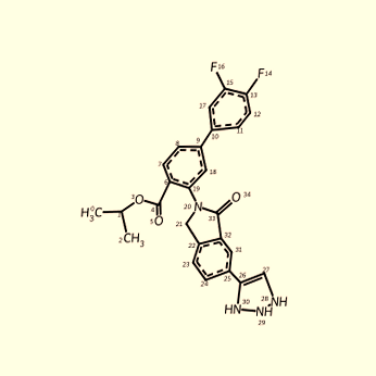 CC(C)OC(=O)c1ccc(-c2ccc(F)c(F)c2)cc1N1Cc2ccc(C3=CNNN3)cc2C1=O